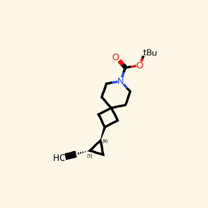 C#C[C@H]1C[C@@H]1C1CC2(CCN(C(=O)OC(C)(C)C)CC2)C1